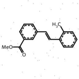 COC(=O)c1cccc(/C=C/c2ccccc2C)c1